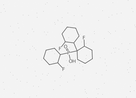 O=P(O)(C1CCCCC1F)C1(C2CCCCC2F)CCCCC1F